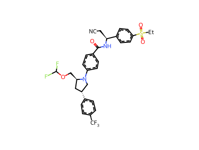 CCS(=O)(=O)c1ccc([C@H](CC#N)NC(=O)c2ccc(N3C[C@H](c4ccc(C(F)(F)F)cc4)C[C@H]3COC(F)F)cc2)cc1